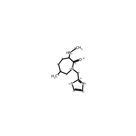 CNC1CCC(C)CN(Cc2nccs2)C1=O